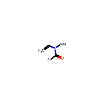 C=CN(CCCC)C(=O)CC